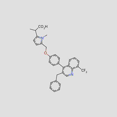 CC(C(=O)O)c1ccc(COc2ccc(-c3c(Cc4ccccc4)cnc4c(C(F)(F)F)cccc34)cc2)n1C